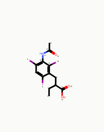 CCC(Cc1c(I)cc(I)c(NC(C)=O)c1I)C(=O)O